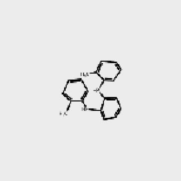 Cc1ccccc1Pc1ccccc1Pc1ccccc1C